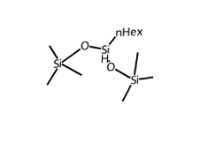 CCCCCC[SiH](O[Si](C)(C)C)O[Si](C)(C)C